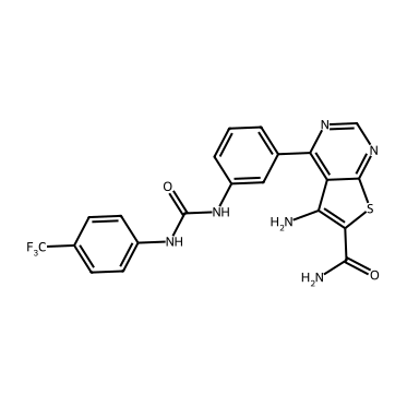 NC(=O)c1sc2ncnc(-c3cccc(NC(=O)Nc4ccc(C(F)(F)F)cc4)c3)c2c1N